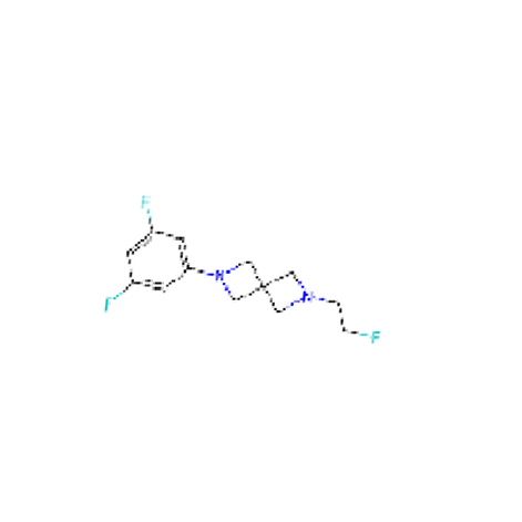 FCCN1CC2(C1)CN(c1cc(F)cc(F)c1)C2